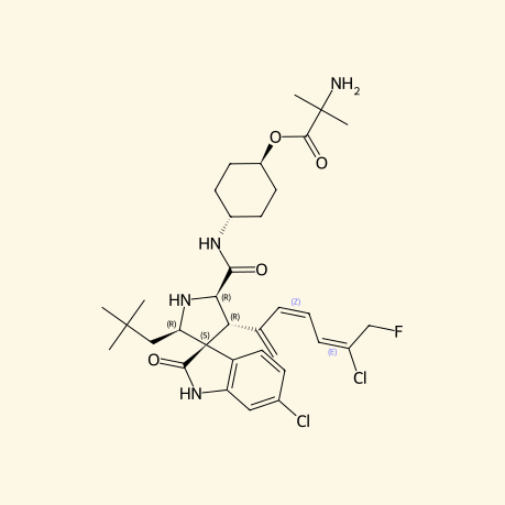 C=C(/C=C\C=C(\Cl)CF)[C@H]1[C@H](C(=O)N[C@H]2CC[C@H](OC(=O)C(C)(C)N)CC2)N[C@H](CC(C)(C)C)[C@]12C(=O)Nc1cc(Cl)ccc12